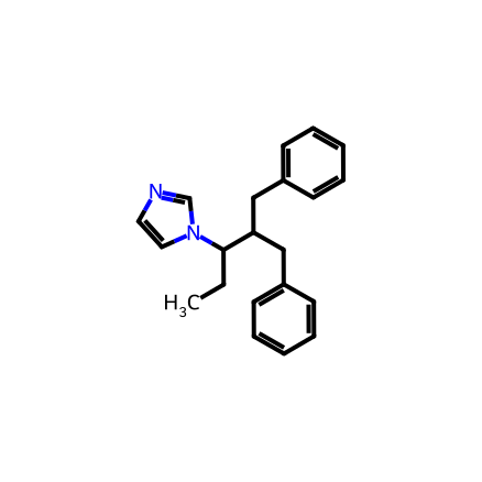 CCC(C(Cc1ccccc1)Cc1ccccc1)n1ccnc1